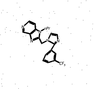 CCCn1c(Cn2ccnc2-c2cccc(C(F)(F)F)c2)nc2cnccc21